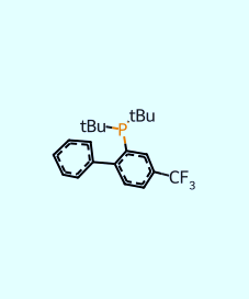 CC(C)(C)P(c1cc(C(F)(F)F)ccc1-c1ccccc1)C(C)(C)C